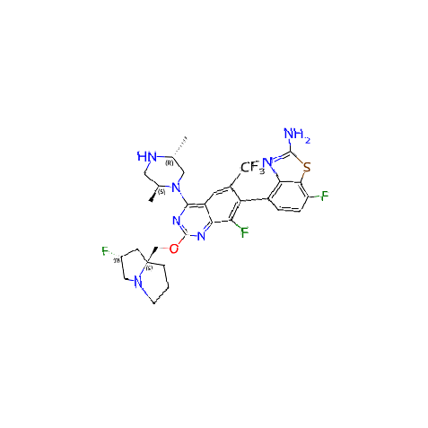 C[C@@H]1CN(c2nc(OC[C@@]34CCCN3C[C@H](F)C4)nc3c(F)c(-c4ccc(F)c5sc(N)nc45)c(C(F)(F)F)cc23)[C@@H](C)CN1